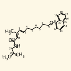 CC(C=CCCCCCCOc1cccc2ccccc12)=CC(=O)NCC(C)C